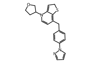 C1=CN(C2CCOC2)C2=CCSC2=C1Cc1ccc(-n2cccn2)cc1